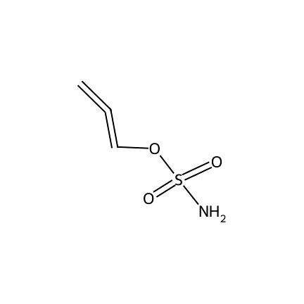 C=C=COS(N)(=O)=O